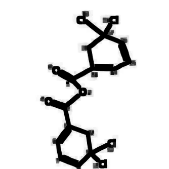 O=C(OC(=O)C1=CC=CC(Cl)(Cl)C1)C1=CC=CC(Cl)(Cl)C1